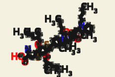 CCCCCCN1/C(=C/C2=C([O-])C(=C\C3=[N+](CCCCCC)c4ccc(-c5cc6c(OCC(CC)CCCC)c7sc(/C=C(\C#N)C(=O)O)cc7c(OCC(CC)CCCC)c6s5)cc4C3(C)C)/C2=O)C(C)(C)c2ccccc21